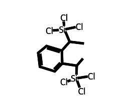 CC(c1ccccc1C(C)[Si](Cl)(Cl)Cl)[Si](Cl)(Cl)Cl